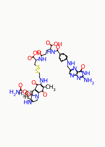 CO[C@@]12[C@H](COC(N)=O)C3=C(C(=O)C(C)=C(NCCSSCC(NC(=O)CCC(NC(=O)c4ccc(NCc5cnc6nc(N)[nH]c(=O)c6n5)cc4)C(=O)O)C(=O)O)C3=O)N1CC1N[C@@H]12